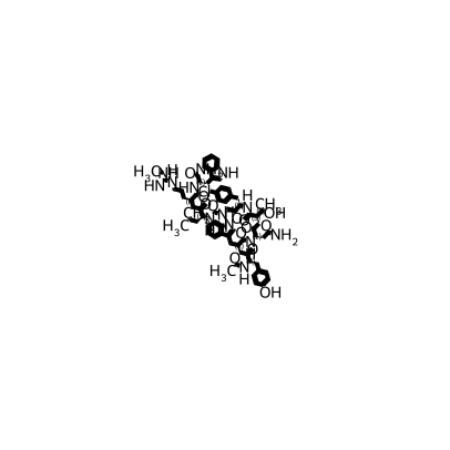 CNC(=N)NCCC[C@H](CC(=O)[C@H](CC(C)C)NC(=O)NCC(=O)[C@H](Cc1ccc(Cl)cc1)NC(=O)[C@@H](CC(=O)[C@H](CC(N)=O)NC(=O)[C@@H](CC(=O)[C@@H](Cc1ccc(O)cc1)NC(C)=O)Cc1c[nH]c2ccccc12)[C@@H](C)O)C(=O)N[C@@H](Cc1c[nH]c2ccccc12)C(N)=O